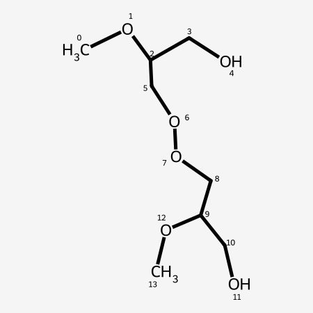 COC(CO)COOCC(CO)OC